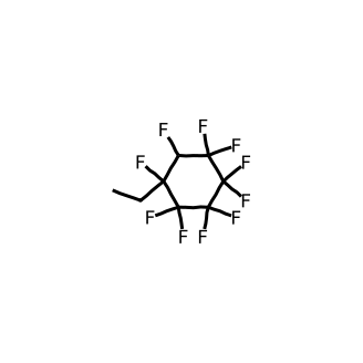 CCC1(F)C(F)C(F)(F)C(F)(F)C(F)(F)C1(F)F